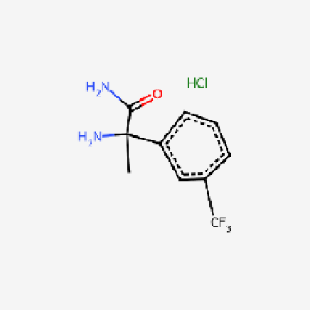 CC(N)(C(N)=O)c1cccc(C(F)(F)F)c1.Cl